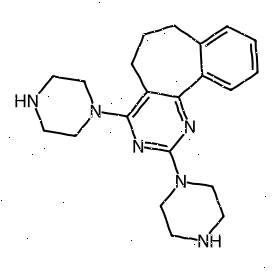 c1ccc2c(c1)CCCc1c-2nc(N2CCNCC2)nc1N1CCNCC1